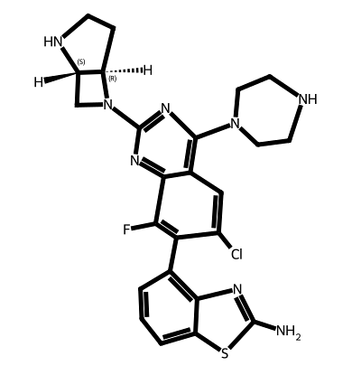 Nc1nc2c(-c3c(Cl)cc4c(N5CCNCC5)nc(N5C[C@@H]6NCC[C@H]65)nc4c3F)cccc2s1